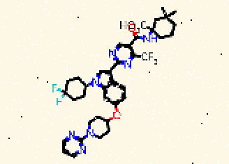 CC1(C)CCCC(NC(=O)c2cnc(-c3cn(C4CCC(F)(F)CC4)c4cc(OC5CCN(c6ncccn6)CC5)ccc34)nc2C(F)(F)F)(C(=O)O)C1